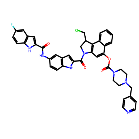 O=C(Nc1ccc2[nH]c(C(=O)N3CC(CCl)c4c3cc(OC(=O)N3CCN(Cc5ccncc5)CC3)c3ccccc43)cc2c1)c1cc2cc(F)ccc2[nH]1